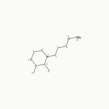 CC1OCCN(CCCOC(C)(C)C)C1C